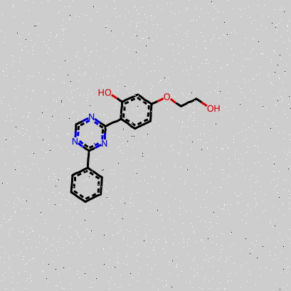 OCCOc1ccc(-c2ncnc(-c3ccccc3)n2)c(O)c1